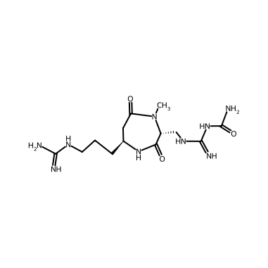 CN1C(=O)C[C@H](CCCNC(=N)N)NC(=O)[C@H]1CNC(=N)NC(N)=O